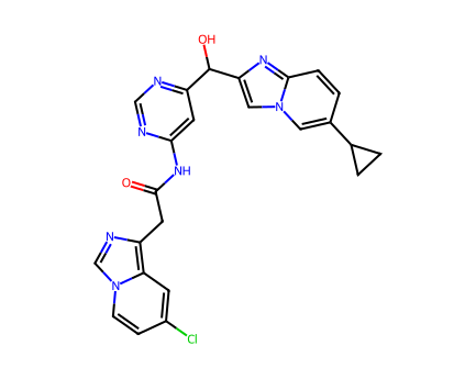 O=C(Cc1ncn2ccc(Cl)cc12)Nc1cc(C(O)c2cn3cc(C4CC4)ccc3n2)ncn1